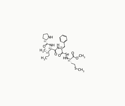 CC[C@H](C)[C@H](NC(=O)[C@@H]1CCCN1)C(=O)N[C@@H](Cc1ccccc1)C(=O)[Se]N[C@@H](CCSC)C(=O)OC